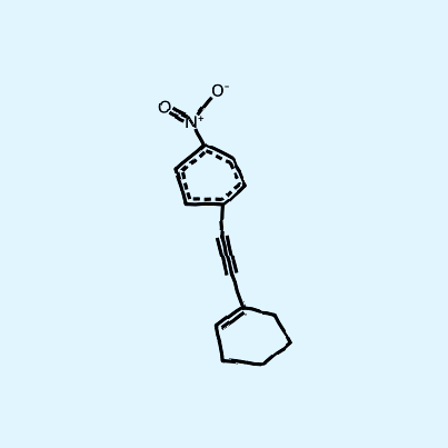 O=[N+]([O-])c1ccc(C#CC2=CCCCC2)cc1